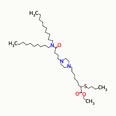 CCCCCCCCCCN(CCCCCCCCCC)C(=O)CCCN1CCN(CCCCCCC(SCCCC)C(=O)OCC)CC1